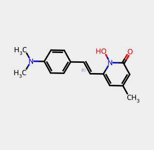 Cc1cc(/C=C/c2ccc(N(C)C)cc2)n(O)c(=O)c1